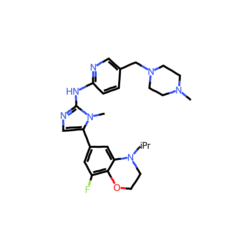 CC(C)N1CCOc2c(F)cc(-c3cnc(Nc4ccc(CN5CCN(C)CC5)cn4)n3C)cc21